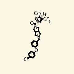 O=C(O)c1nn(C(=O)N2CC3CN(Cc4cccc(Oc5ccc(Cl)cc5)c4)CC3C2)cc1C(F)(F)F